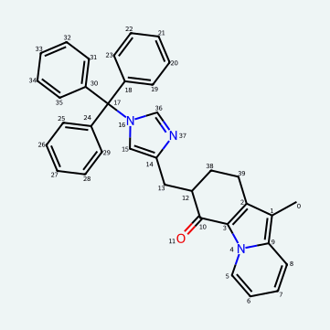 Cc1c2c(n3ccccc13)C(=O)C(Cc1cn(C(c3ccccc3)(c3ccccc3)c3ccccc3)cn1)CC2